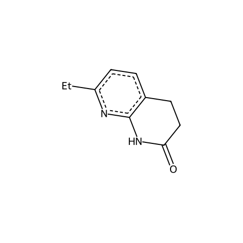 CCc1ccc2c(n1)NC(=O)CC2